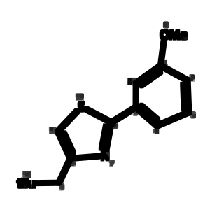 COc1cccc(-c2nc(CC(C)(C)C)cs2)c1